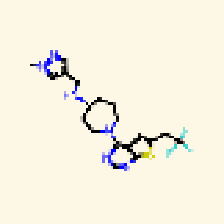 Cn1cc(CN[C@H]2CCCN(c3ncnc4sc(CC(F)(F)F)cc34)CC2)cn1